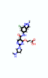 CCOc1nc(N2CCC(NC)C2)ncc1C(=O)Nc1cc(F)c2nn(C)cc2c1.O=CO